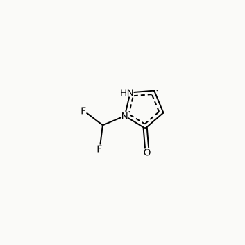 O=c1c[c][nH]n1C(F)F